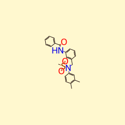 Cc1ccc(N(Cc2cccc(NC(=O)c3ccccc3)c2)S(C)(=O)=O)cc1C